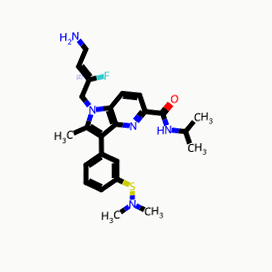 Cc1c(-c2cccc(SN(C)C)c2)c2nc(C(=O)NC(C)C)ccc2n1C/C(F)=C/CN